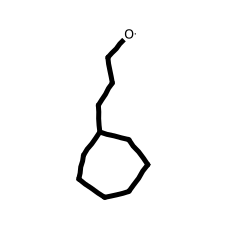 [O]CCCC1CCCCCC1